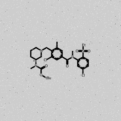 CCS(=O)(=O)c1ccc(Cl)cc1N(C)C(=O)c1cc(C)c(CN2CCC[C@H](N(C)C(=O)OC(C)(C)C)C2)c(Cl)c1